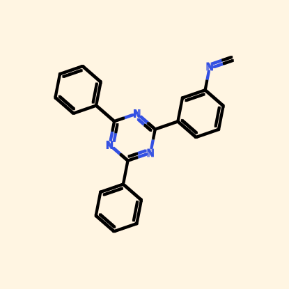 C=Nc1cccc(-c2nc(-c3ccccc3)nc(-c3ccccc3)n2)c1